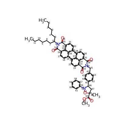 CCCCCCC(CCCCCC)N1C(=O)c2ccc3c4ccc5c6c(ccc(c7ccc(c2c37)C1=O)c64)C(=O)N(Cc1ccc(C2C[C@@](C)(C(=O)OC)ON2c2ccccc2)cc1)C5=O